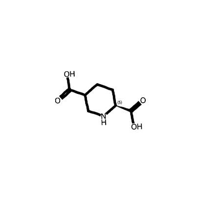 O=C(O)C1CC[C@@H](C(=O)O)NC1